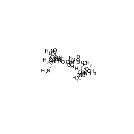 CC(=O)O[C@@H](C)/C=C\C(=O)N[C@@H]1C[C@H](C)[C@H](C/C=C(C)/C=C/[C@@H]2C[C@]3(CO3)C[C@@H](CC(=O)NNC(=O)OCc3ccc(NC(=O)[C@H](CCCNC(N)=O)NC(=O)[C@@H](NC(=O)CCCCCN)C(C)C)cc3)O2)O[C@@H]1C